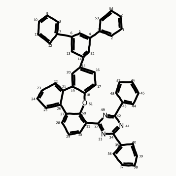 c1ccc(-c2cc(-c3ccccc3)cc(-c3ccc4c(c3)-c3ccccc3-c3cccc(-c5nc(-c6ccccc6)nc(-c6ccccc6)n5)c3O4)c2)cc1